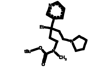 CCC(CCN1CCCC1)(CCN(C)C(=O)OC(C)(C)C)c1cccnc1